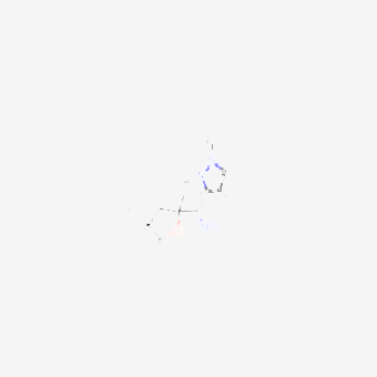 Cc1cn(C)nc1[C@@H](N)C1(C)CC(F)(F)CO1